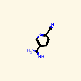 N#Cc1ccc(C(=N)N)cn1